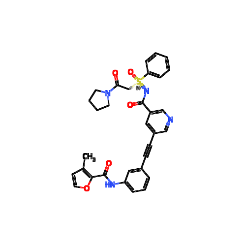 Cc1ccoc1C(=O)Nc1cccc(C#Cc2cncc(C(=O)N=[S@](=O)(CC(=O)N3CCCC3)c3ccccc3)c2)c1